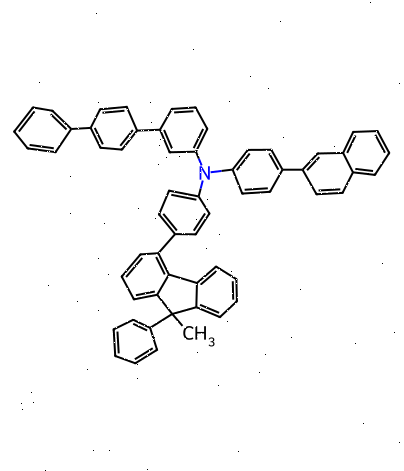 CC1(c2ccccc2)c2ccccc2-c2c(-c3ccc(N(c4ccc(-c5ccc6ccccc6c5)cc4)c4cccc(-c5ccc(-c6ccccc6)cc5)c4)cc3)cccc21